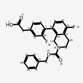 O=C(O)Cc1ccc(-c2ccc(F)c3c2CN(C(=O)OCc2ccccc2)CC3)c(F)c1